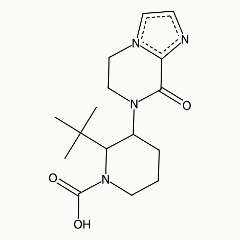 CC(C)(C)C1C(N2CCn3ccnc3C2=O)CCCN1C(=O)O